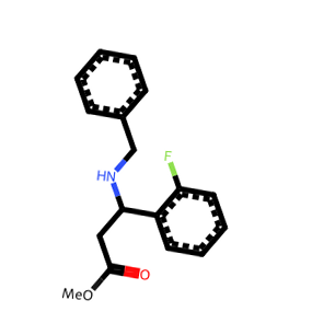 COC(=O)CC(NCc1ccccc1)c1ccccc1F